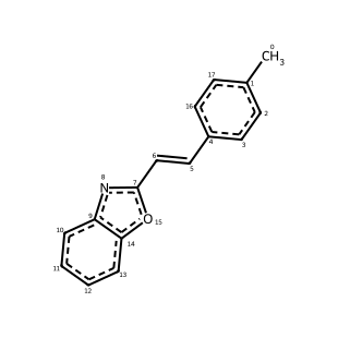 Cc1ccc(C=Cc2nc3ccccc3o2)cc1